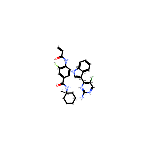 C=CC(=O)Nc1ccc(C(=O)N[C@@]2(C)CCC[C@@H](Nc3ncc(Cl)c(-c4c[nH]c5ccccc45)n3)C2)cc1F